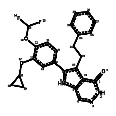 O=c1[nH]ncc2[nH]c(-c3ccc(OC(F)F)c(OC4CC4)c3)c(CCc3ccccc3)c12